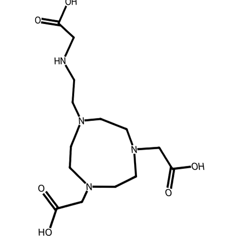 O=C(O)CNCCN1CCN(CC(=O)O)CCN(CC(=O)O)CC1